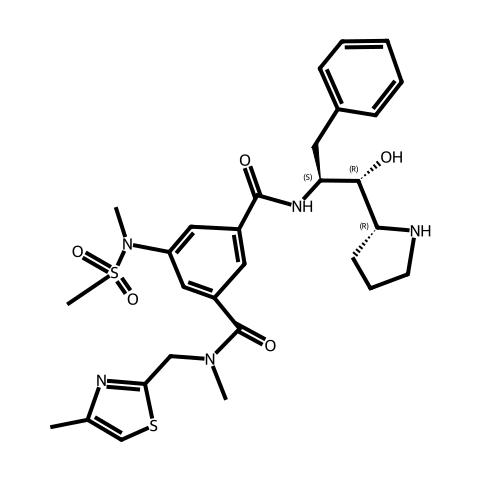 Cc1csc(CN(C)C(=O)c2cc(C(=O)N[C@@H](Cc3ccccc3)[C@H](O)[C@H]3CCCN3)cc(N(C)S(C)(=O)=O)c2)n1